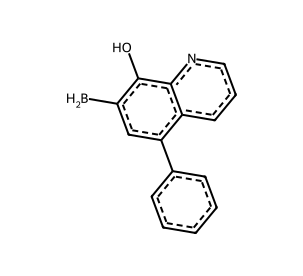 Bc1cc(-c2ccccc2)c2cccnc2c1O